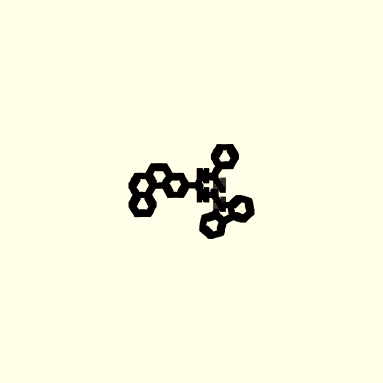 c1ccc(-c2nc(-c3ccc4c(ccc5ccc6ccccc6c54)c3)nc(-n3c4ccccc4c4ccccc43)n2)cc1